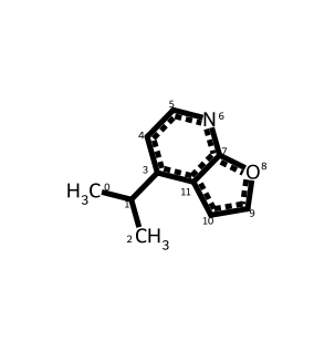 CC(C)c1ccnc2occc12